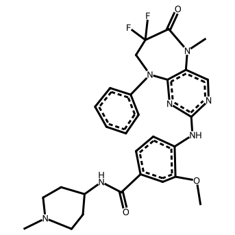 COc1cc(C(=O)NC2CCN(C)CC2)ccc1Nc1ncc2c(n1)N(c1ccccc1)CC(F)(F)C(=O)N2C